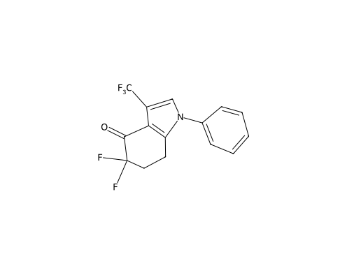 O=C1c2c(C(F)(F)F)cn(-c3ccccc3)c2CCC1(F)F